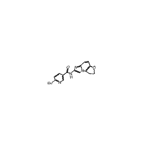 CC(C)(C)c1ccc(C(=O)Nc2cn3c4c(ccc3n2)OCC4)cn1